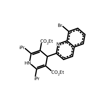 CCOC(=O)C1=C(C(C)C)NC(C(C)C)=C(C(=O)OCC)C1c1ccc2cccc(Br)c2n1